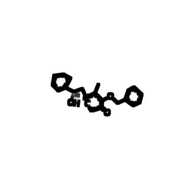 Cc1c(OCc2ccccc2)c(=O)ccn1C[C@H](O)c1ccccc1